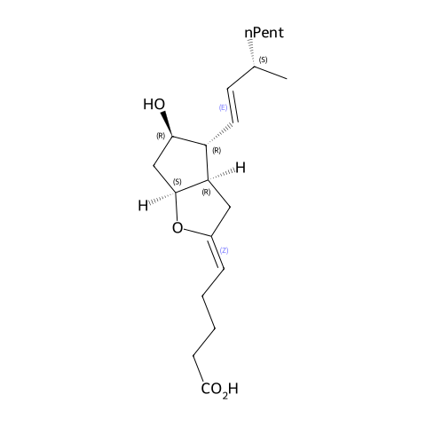 CCCCC[C@H](C)/C=C/[C@@H]1[C@H]2C/C(=C/CCCC(=O)O)O[C@H]2C[C@H]1O